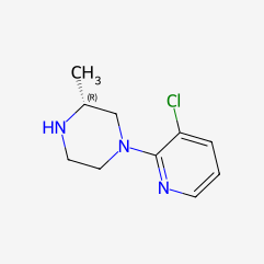 C[C@@H]1CN(c2ncccc2Cl)CCN1